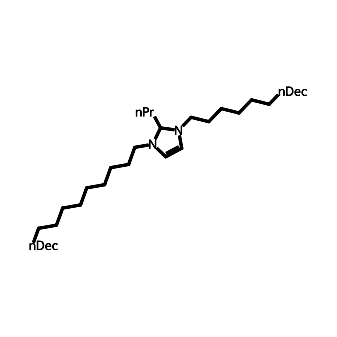 CCCCCCCCCCCCCCCCCCCN1C=CN(CCCCCCCCCCCCCCCC)C1CCC